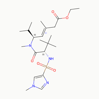 CCOC(=O)C/C(C)=C/[C@H](C(C)C)N(C)C(=O)[C@@H](NS(=O)(=O)c1cn(C)cn1)C(C)(C)C